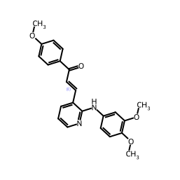 COc1ccc(C(=O)/C=C/c2cccnc2Nc2ccc(OC)c(OC)c2)cc1